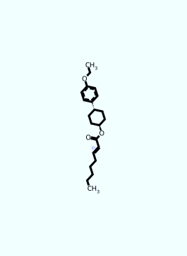 CCCCC/C=C/C(=O)O[C@H]1CC[C@H](c2ccc(OCC)cc2)CC1